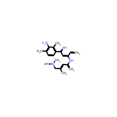 C=C/C(=C\C(=N)c1ccc(C)c(N)c1C)NC(=C)/C=C(\C)CN(C)CCC